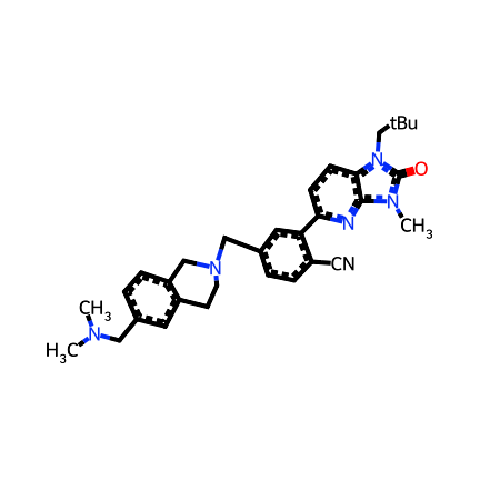 CN(C)Cc1ccc2c(c1)CCN(Cc1ccc(C#N)c(-c3ccc4c(n3)n(C)c(=O)n4CC(C)(C)C)c1)C2